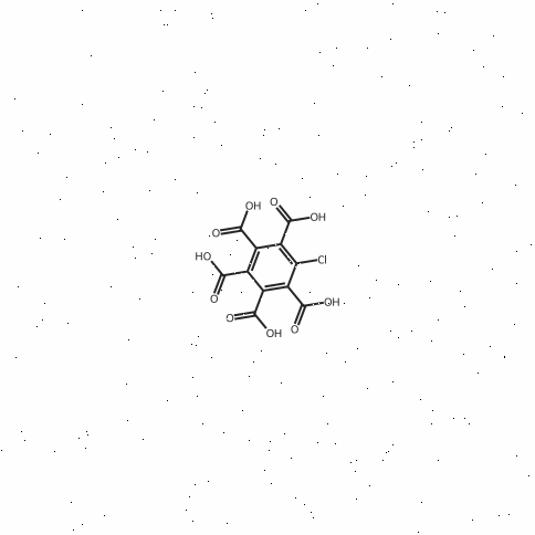 O=C(O)c1c(Cl)c(C(=O)O)c(C(=O)O)c(C(=O)O)c1C(=O)O